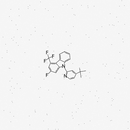 CC(C)(C)c1ccnc(-n2c3ccccc3c3c(C(F)(F)F)cc(F)cc32)c1